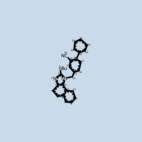 CCCCc1nc2ccc3ccccc3c2n1Cc1ccc(-c2ccccc2)c(C#N)c1